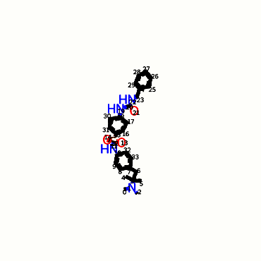 CN(C)C(C)(C)Cc1ccc(NS(=O)(=O)c2ccc(NC(=O)NCc3ccccc3)cc2)cc1